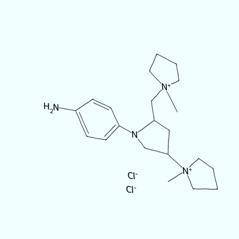 C[N+]1(CC2CC([N+]3(C)CCCC3)CN2c2ccc(N)cc2)CCCC1.[Cl-].[Cl-]